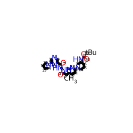 CC(C(=O)NNC(=O)c1cncc(N2CCCC2)n1)c1ccc(N2CCC[C@@H](NC(=O)OC(C)(C)C)C2)nn1